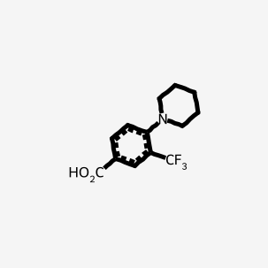 O=C(O)c1ccc(N2CCCCC2)c(C(F)(F)F)c1